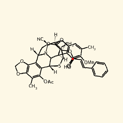 COc1c(C)cc2c(c1O)[C@H]1C3[C@@H]4SC[C@H](OC(=O)/C=C/c5ccccc5)C(=O)OC[C@@H](c5c6c(c(C)c(OC(C)=O)c54)OCO6)N3[C@@H](C#N)[C@@H](C2)N1C